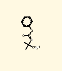 CC(C)(N=[P+]([O-])Oc1ccccc1)C(=O)O